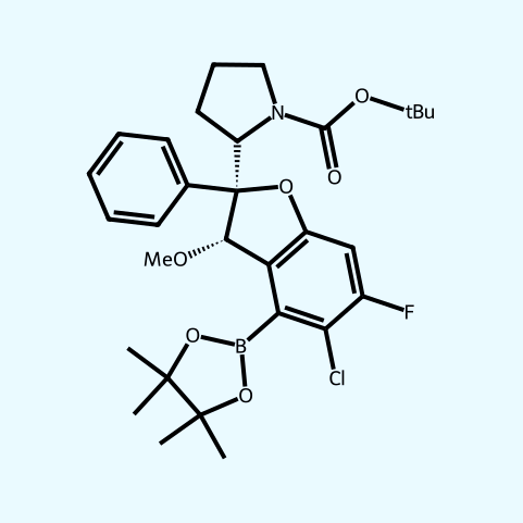 CO[C@H]1c2c(cc(F)c(Cl)c2B2OC(C)(C)C(C)(C)O2)O[C@@]1(c1ccccc1)C1CCCN1C(=O)OC(C)(C)C